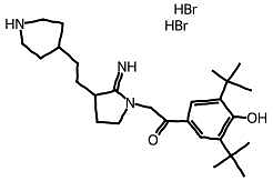 Br.Br.CC(C)(C)c1cc(C(=O)CN2CCC(CCC3CCNCC3)C2=N)cc(C(C)(C)C)c1O